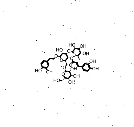 C[C@H]1O[C@H](O[C@@H]2[C@@H](O)[C@H](OCCc3ccc(O)c(O)c3)O[C@H](CO[C@H]3O[C@@H](CO)[C@H](O)[C@@H](O)[C@@H]3O)[C@H]2OC(=O)/C=C/c2ccc(O)c(O)c2)[C@@H](O)[C@@H](O)[C@@H]1O